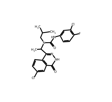 CC(C)CN(C(=O)Nc1ccc(F)c(Cl)c1)C(C)c1n[nH]c(=O)c2cc(Cl)ccc12